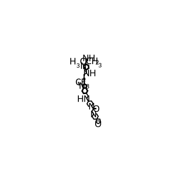 CC(C)(N)c1ccc(NCC#Cc2cc3cc(CNC4CCN(C(=O)CN5CCC6(CCOC6)CC5)CC4)ccc3n2CC(F)(F)F)cn1